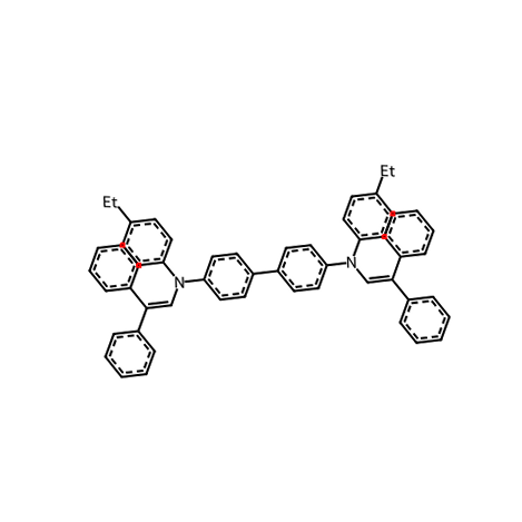 CCc1ccc(N(C=C(c2ccccc2)c2ccccc2)c2ccc(-c3ccc(N(C=C(c4ccccc4)c4ccccc4)c4ccc(CC)cc4)cc3)cc2)cc1